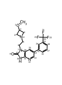 COC1CN(CCn2c(=O)[nH]c3ncc(-c4cccc(C(F)(F)F)c4)cc32)C1